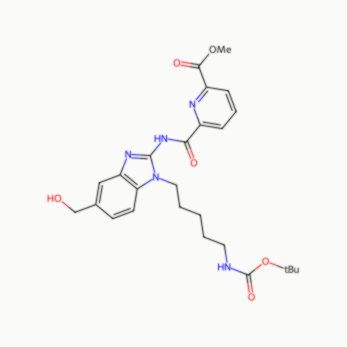 COC(=O)c1cccc(C(=O)Nc2nc3cc(CO)ccc3n2CCCCCNC(=O)OC(C)(C)C)n1